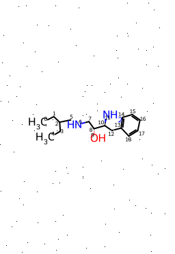 CCC(CC)CNC[C@@H](O)[C@@H](N)Cc1ccccc1